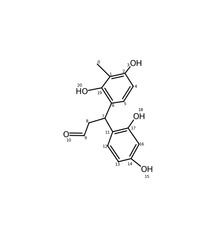 Cc1c(O)ccc(C(CC=O)c2ccc(O)cc2O)c1O